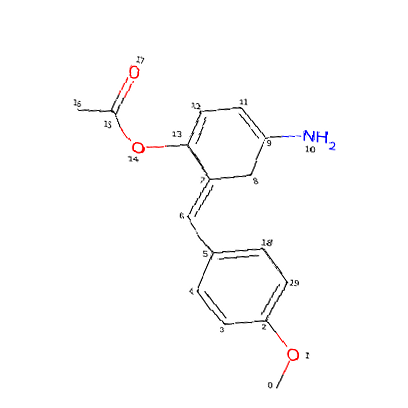 COc1ccc(C=C2CC(N)=CC=C2OC(C)=O)cc1